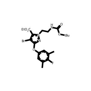 CCOC(=O)c1c(Br)c(Oc2cc(C)c(F)c(C)c2)nn1CCNC(=O)OC(C)(C)C